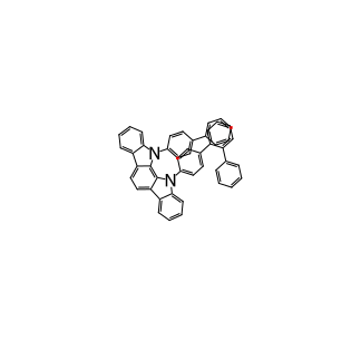 c1ccc(-c2ccc(-n3c4ccccc4c4ccc5c6ccccc6n(-c6ccc(-c7ccccc7-c7ccccc7)cc6)c5c43)cc2)cc1